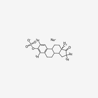 [2H]c1cc2c(c([2H])c1OS(=O)(=O)[O-])CCC1C2CC[C@]2(C)C(=O)C([2H])([2H])CC12.[Na+]